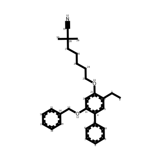 CCc1cc(-c2ccccc2)c(OCc2ccccc2)cc1OCCCCCC(C)(C)C#N